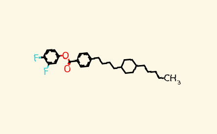 CCCCCC1CCC(CCCCc2ccc(C(=O)Oc3ccc(F)c(F)c3)cc2)CC1